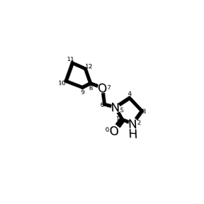 O=C1NCCN1COC1CCCC1